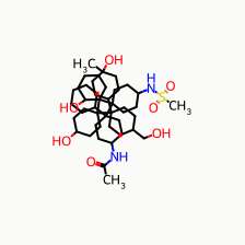 CC(=O)NC1CCC(C2CCCCC2)(C2(C3(C4(C5([C]6CCC(C)(O)CC6)CCC(CO)CC5)CCC(O)CC4)CCCCC3O)CCC(NS(C)(=O)=O)CC2)CC1